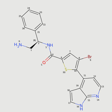 NC[C@H](NC(=O)c1cc(Br)c(-c2ccnc3[nH]ccc23)s1)c1ccccc1